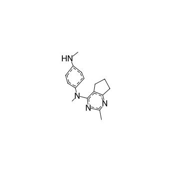 CNc1ccc(N(C)c2nc(C)nc3c2CCC3)cc1